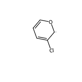 ClC1=CC=CO[CH]1